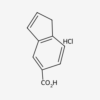 Cl.O=C(O)c1ccc2c(c1)C=CC2